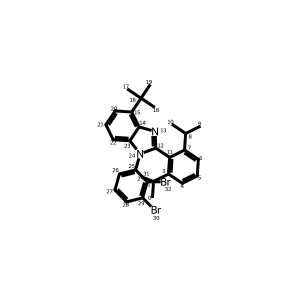 CC(C)c1cccc(C(C)C)c1-c1nc2c(C(C)(C)C)cccc2n1-c1cccc(Br)c1Br